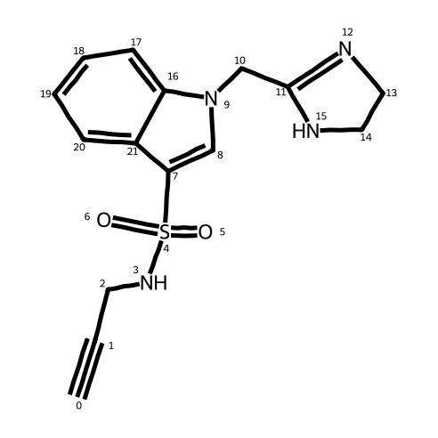 C#CCNS(=O)(=O)c1cn(CC2=NCCN2)c2ccccc12